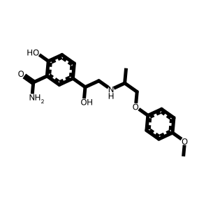 COc1ccc(OCC(C)NCC(O)c2ccc(O)c(C(N)=O)c2)cc1